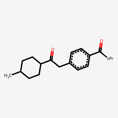 CCCC(=O)c1ccc(CC(=O)C2CCC(C)CC2)cc1